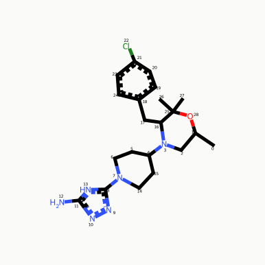 CC1CN(C2CCN(c3nnc(N)[nH]3)CC2)C(Cc2ccc(Cl)cc2)C(C)(C)O1